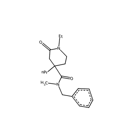 CCCC1(C(=O)N(C)Cc2ccccc2)CCN(CC)C(=O)C1